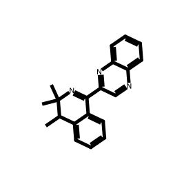 CC1c2ccccc2C(c2cnc3ccccc3n2)=NC1(C)C